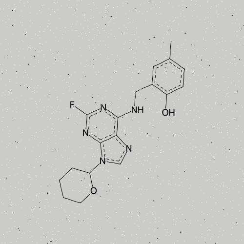 Cc1ccc(O)c(CNc2nc(F)nc3c2ncn3C2CCCCO2)c1